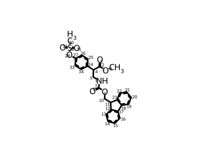 COC(=O)C(CNC(=O)OCC1c2ccccc2-c2ccccc21)c1ccc(OS(C)(=O)=O)cc1